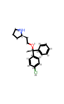 C[C@@](OCC[C@H]1CCCN1)(c1ccccc1)c1ccc(Cl)cc1